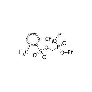 CCOP(=O)(COS(=O)(=O)c1c(C)cccc1C(F)(F)F)OC(C)C